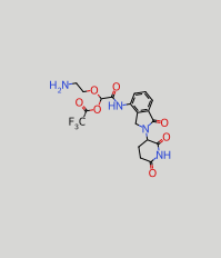 NCCOC(OC(=O)C(F)(F)F)C(=O)Nc1cccc2c1CN(C1CCC(=O)NC1=O)C2=O